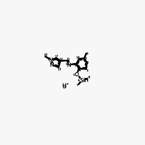 Cc1ccc(O[SiH](C)C)c(N=Cc2cnn(C)c2)c1.[H+]